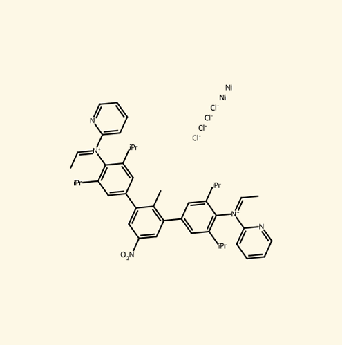 CC=[N+](c1ccccn1)c1c(C(C)C)cc(-c2cc([N+](=O)[O-])cc(-c3cc(C(C)C)c([N+](=CC)c4ccccn4)c(C(C)C)c3)c2C)cc1C(C)C.[Cl-].[Cl-].[Cl-].[Cl-].[Ni].[Ni]